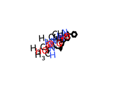 CCC(O)(CC)C(=O)N[C@H]1Cc2ccc3c(c2)C2(c4ccccc4N[C@H]2O3)c2oc(nc2-c2ncc(-c3ccccc3)o2)[C@H](C(C)C)NC1=O